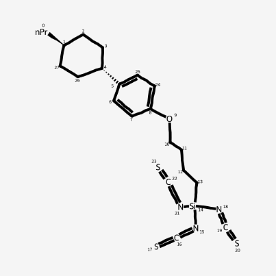 CCC[C@H]1CC[C@H](c2ccc(OCCCC[Si](N=C=S)(N=C=S)N=C=S)cc2)CC1